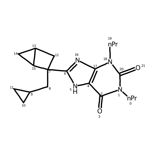 CCCn1c(=O)c2[nH]c(C3(CC4CC4)CC4CC43)nc2n(CCC)c1=O